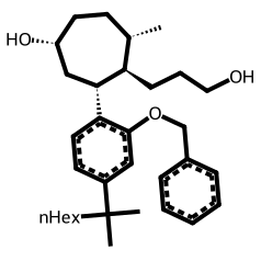 CCCCCCC(C)(C)c1ccc([C@@H]2C[C@H](O)CC[C@H](C)[C@H]2CCCO)c(OCc2ccccc2)c1